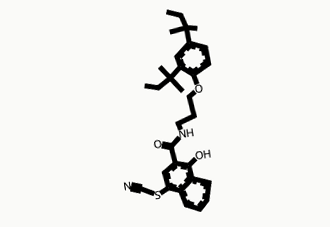 CCC(C)(C)c1ccc(OCCCNC(=O)c2cc(SC#N)c3ccccc3c2O)c(C(C)(C)CC)c1